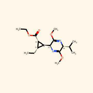 CCOC(=O)[C@H]1[C@@H](CC)[C@@H]1[C@@H]1N=C(OC)[C@@H](C(C)C)N=C1OC